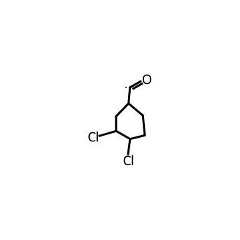 O=[C]C1CCC(Cl)C(Cl)C1